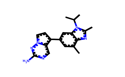 Cc1cc(-c2ccn3nc(N)ncc23)cc2c1nc(C)n2C(C)C